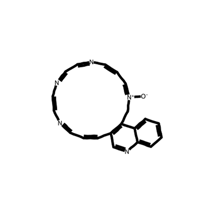 [O-][N+]1=CC=CN=CC=NC=CN=CC=Cc2cnc3ccccc3c2C1